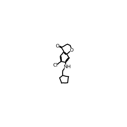 O=C1CCOc2cc(NCC3CCCC3)c(Cl)cc21